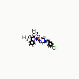 C[C@@H]1c2ccccc2N(C(=O)CN2CCN(Cc3ccc(Cl)cc3)CC2)[C@H]1C